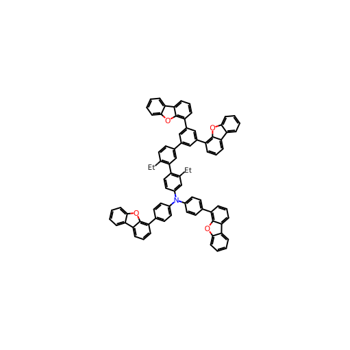 CCc1cc(N(c2ccc(-c3cccc4c3oc3ccccc34)cc2)c2ccc(-c3cccc4c3oc3ccccc34)cc2)ccc1-c1cc(-c2cc(-c3cccc4c3oc3ccccc34)cc(-c3cccc4c3oc3ccccc34)c2)ccc1CC